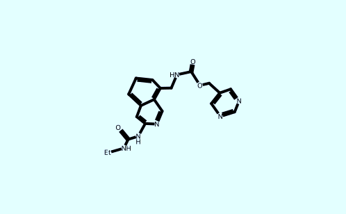 CCNC(=O)Nc1cc2cccc(CNC(=O)OCc3cncnc3)c2cn1